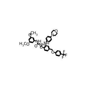 COc1cc(NC(=O)NOc2ccc(COc3ccc(C(F)(F)F)cc3)cc2Nc2ccc(N3CCOCC3)cc2)cc(OC)c1